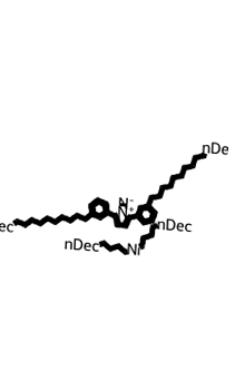 CCCCCCCCCCCCCCCCCCCCc1cccc(C2=CC=C(c3cccc(CCCCCCCCCCCCCCCCCCCC)c3)[N+]2=[N-])c1.CCCCCCCCCCCCC[CH2][Ni][CH2]CCCCCCCCCCCCC